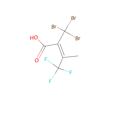 CC(=C(C(=O)O)C(Br)(Br)Br)C(F)(F)F